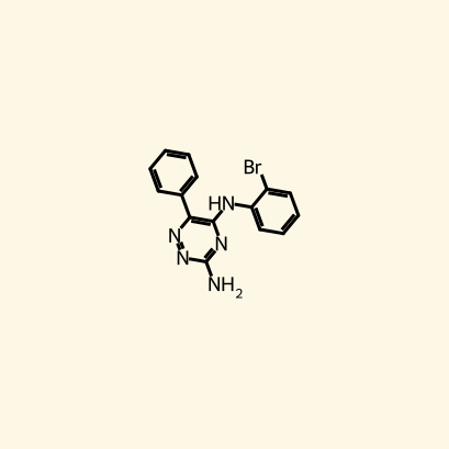 Nc1nnc(-c2ccccc2)c(Nc2ccccc2Br)n1